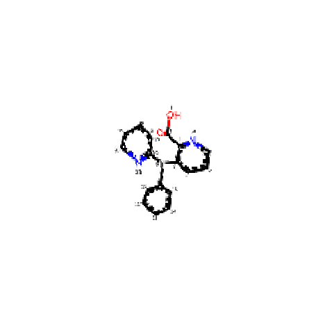 O=C(O)c1nccc[c]1[Ir]([c]1ccccc1)[c]1ccccn1